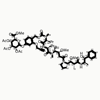 C#CCOc1cc(OC2O[C@H](C(=O)OC)[C@@H](OC(C)=O)[C@H](OC(C)=O)[C@H]2OC(C)=O)ccc1COC(=O)N(C)[C@H](C(=O)N[C@H](C(=O)N(C)[C@@H](C(C)CC)[C@@H](CC(=O)N1CCC[C@H]1[C@H](OC)[C@@H](C)C(=O)N[C@H](C)[C@@H](O)c1ccccc1)OC)C(C)C)C(C)C